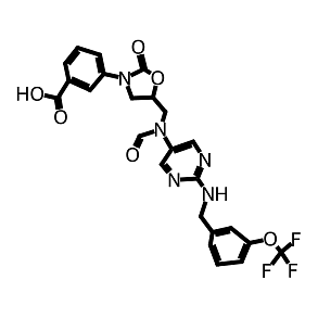 O=CN(CC1CN(c2cccc(C(=O)O)c2)C(=O)O1)c1cnc(NCc2cccc(OC(F)(F)F)c2)nc1